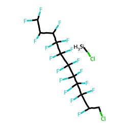 FC(F)C(F)C(F)C(F)(F)C(F)(F)C(F)(F)C(F)(F)C(F)(F)C(F)(F)C(F)CCl.[SiH3]Cl